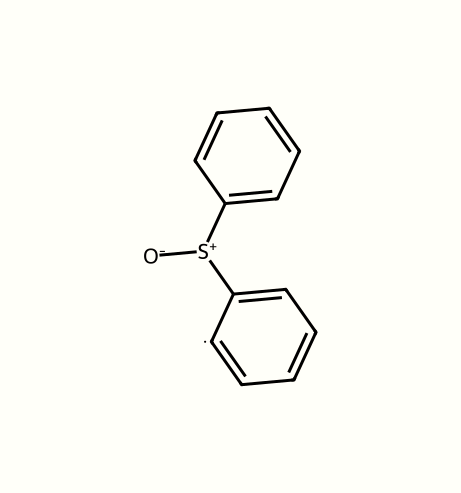 [O-][S+](c1[c]cccc1)c1ccccc1